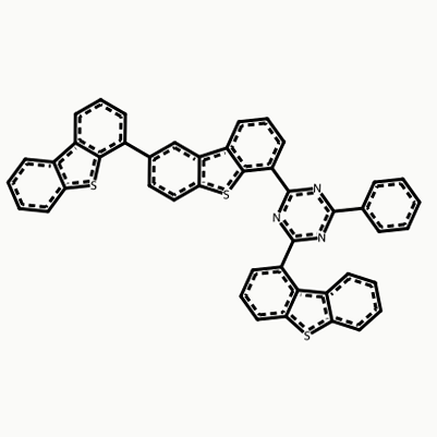 c1ccc(-c2nc(-c3cccc4c3sc3ccc(-c5cccc6c5sc5ccccc56)cc34)nc(-c3cccc4sc5ccccc5c34)n2)cc1